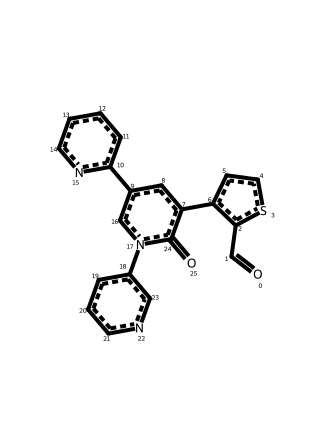 O=Cc1sccc1-c1cc(-c2ccccn2)cn(-c2cccnc2)c1=O